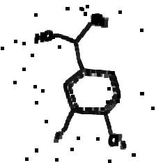 CC(C)(C)C(O)c1ccc(C(F)(F)F)c(F)c1